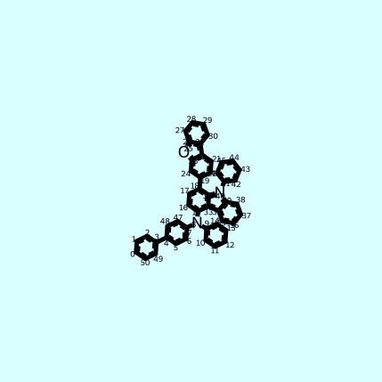 c1ccc(-c2ccc(N(c3ccccc3)c3ccc(-c4ccc5c(c4)oc4ccccc45)c4c3c3ccccc3n4-c3ccccc3)cc2)cc1